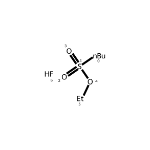 CCCCS(=O)(=O)OCC.F